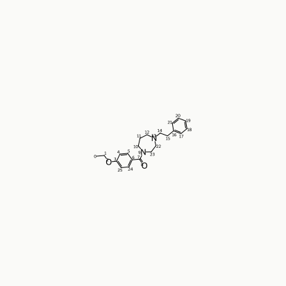 CCOc1ccc(C(=O)N2CCCN(CCc3ccccc3)CC2)cc1